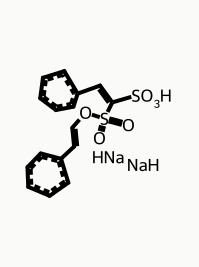 O=S(=O)(O)C(=Cc1ccccc1)S(=O)(=O)OC=Cc1ccccc1.[NaH].[NaH]